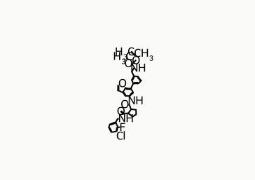 CC(C)(C)OC(=O)NCc1cccc(-c2cc(NC(=O)C3CCCC3C(=O)NCc3cccc(Cl)c3F)cc3ccoc23)c1